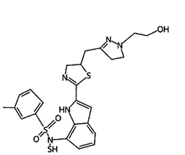 Cc1cccc(S(=O)(=O)N(S)c2cccc3cc(C4=NCC(CC5=NN(CCO)CC5)S4)[nH]c23)c1